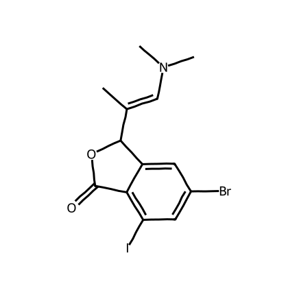 CC(=CN(C)C)C1OC(=O)c2c(I)cc(Br)cc21